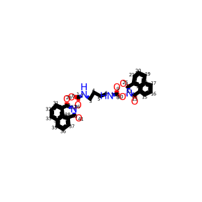 O=C(NCCCCNC(=O)ON1C(=O)c2cccc3cccc(c23)C1=O)ON1C(=O)c2cccc3cccc(c23)C1=O